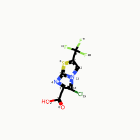 O=C(O)c1nc2sc(C(F)(F)F)cn2c1Cl